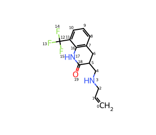 C=CCNCC1Cc2cccc(C(F)(F)F)c2NC1=O